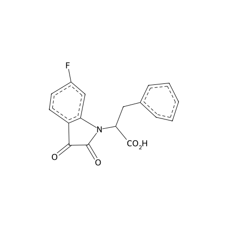 O=C1C(=O)N(C(Cc2ccccc2)C(=O)O)c2cc(F)ccc21